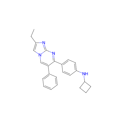 CCc1cn2cc(-c3ccccc3)c(-c3ccc(NC4CCC4)cc3)nc2n1